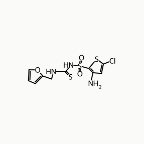 Nc1cc(Cl)sc1S(=O)(=O)NC(=S)NCc1ccco1